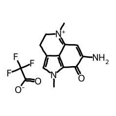 Cn1cc2c3c1C(=O)C(N)=CC3=[N+](C)CC2.O=C([O-])C(F)(F)F